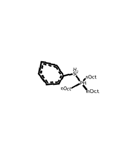 CCCCCCCC[PH](CCCCCCCC)(CCCCCCCC)[SiH2]c1ccccc1